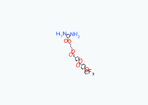 Nc1cc(N)cc(C(=O)OCCCCCOC(=O)C=Cc2ccc(OC(=O)c3ccc(OC(F)(F)F)cc3)cc2)c1